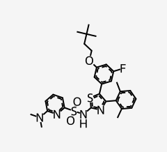 Cc1cccc(C)c1-c1nc(NS(=O)(=O)c2cccc(N(C)C)n2)sc1-c1cc(F)cc(OCCC(C)(C)C)c1